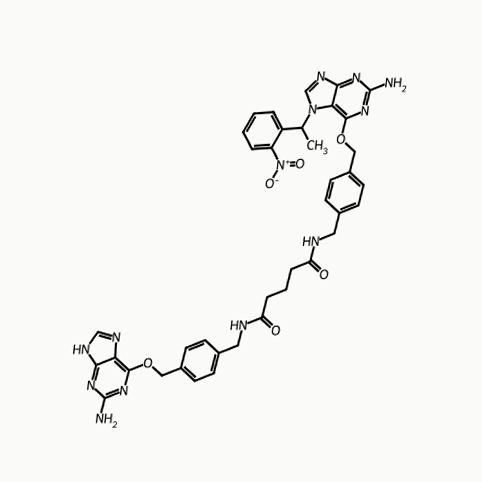 CC(c1ccccc1[N+](=O)[O-])n1cnc2nc(N)nc(OCc3ccc(CNC(=O)CCCC(=O)NCc4ccc(COc5nc(N)nc6[nH]cnc56)cc4)cc3)c21